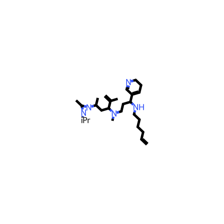 C=CCCCCNC(CCN(C)C(CC(C)N1C(C)N1C(C)C)C(=C)C)C1=CCCN=C1